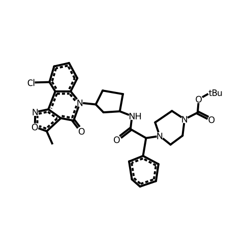 Cc1onc2c1c(=O)n(C1CCC(NC(=O)C(c3ccccc3)N3CCN(C(=O)OC(C)(C)C)CC3)C1)c1cccc(Cl)c21